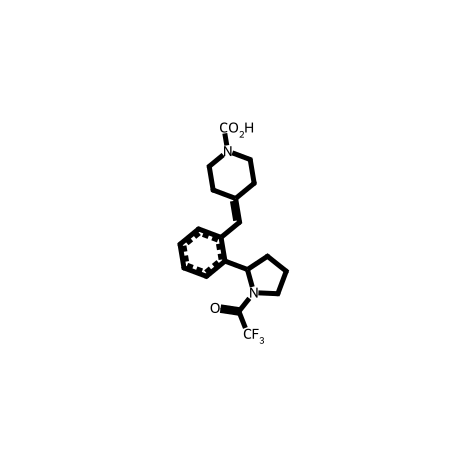 O=C(O)N1CCC(=Cc2ccccc2C2CCCN2C(=O)C(F)(F)F)CC1